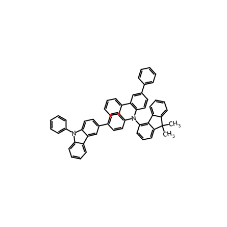 CC1(C)c2ccccc2-c2c(N(c3ccc(-c4ccc5c(c4)c4ccccc4n5-c4ccccc4)cc3)c3ccc(-c4ccccc4)cc3-c3ccccc3)cccc21